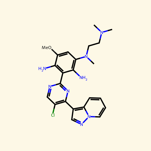 COc1cc(N(C)CCN(C)C)c(N)c(-c2ncc(Cl)c(-c3cnn4ccccc34)n2)c1N